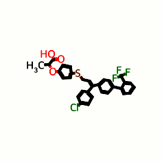 CC(Oc1ccc(SCC=C(c2ccc(Cl)cc2)c2ccc(-c3ccccc3C(F)(F)F)cc2)cc1)C(=O)O